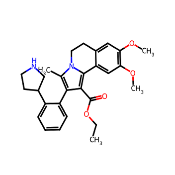 CCOC(=O)c1c(-c2ccccc2C2CCNC2)c(C)n2c1-c1cc(OC)c(OC)cc1CC2